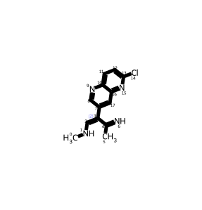 CN/C=C(\C(C)=N)c1cnc2ccc(Cl)nc2c1